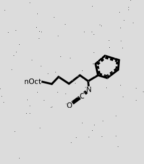 CCCCCCCCCCCCC(N=C=O)c1[c]cccc1